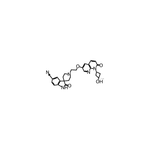 C[C@]1(O)C[C@@H](n2c(=O)ccc3cc(OCCN4CCC5(CC4)C(=O)Nc4ccc(C#N)cc45)cnc32)C1